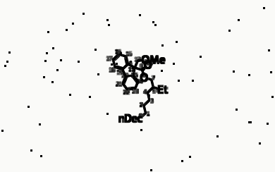 CCCCCCCCCCCCCCC(CC)COC(=O)C1(COC)c2ccccc2-c2ccccc21